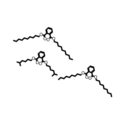 CC(C)CCCCOC(=O)c1ccccc1C(=O)OCCCCC(C)C.CCCCCCCCCCOC(=O)c1ccccc1C(=O)OCCCCCCCCCC.CCCCCCCCCOC(=O)c1ccccc1C(=O)OCCCCCCCCC